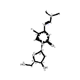 CN(C)/C=N/c1nc(=O)n([C@H]2CC(O)[C@@H](CO)O2)cc1I